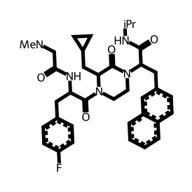 CNCC(=O)NC(Cc1ccc(F)cc1)C(=O)N1CCN(C(Cc2ccc3ccccc3c2)C(=O)NC(C)C)C(=O)C1CC1CC1